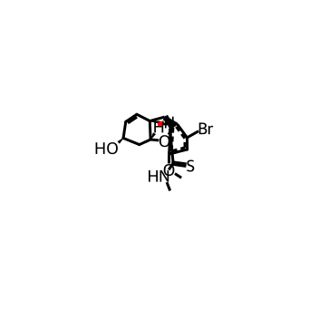 CNC(=S)N1CC[C@]23C=C[C@H](O)C[C@H]2Oc2c(OC)cc(Br)c(c23)C1